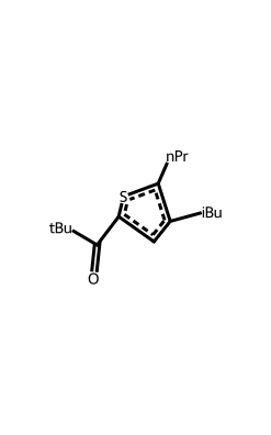 CCCc1sc(C(=O)C(C)(C)C)cc1C(C)CC